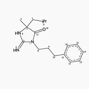 CC(C)CC1(C)NC(=N)N(CCCc2ccccc2)C1=O